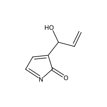 C=CC(O)C1=CC=NC1=O